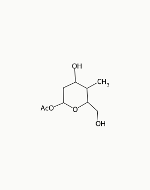 CC(=O)OC1CC(O)C(C)C(CO)O1